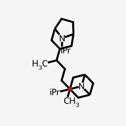 CC(C)C1CC2CC(C1)N2C(C)CCC(C)C1CC2CCC(C1)N2C(C)C